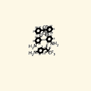 Nc1ccc(C(F)C(F)(F)C(F)(F)F)cc1.Nc1ccc(Oc2ccccc2C(c2ccccc2Oc2ccc(N)cc2)(C(F)(F)F)C(F)(F)F)cc1